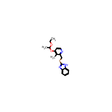 CCOC(C)Oc1ccnc(CSc2nc3ccccc3[nH]2)c1C